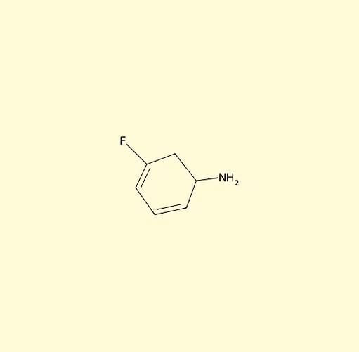 NC1C=CC=C(F)C1